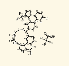 C[C@@H]1CCC[C@H](n2cnc(-c3cc(Cl)ccc3-n3cc(C(F)(F)F)nn3)cc2=O)c2cc(ccn2)-c2c(cnn2C(F)F)NC1=O.O=C(O)C(F)(F)F